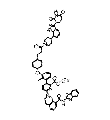 Cc1c(O[C@H]2CC[C@H](CCC(=O)N3CCC(c4cccc5c(C6CCC(=O)NC6=O)nn(C)c45)CC3)CC2)cccc1-c1ccc(N2CCc3cccc(C(=O)Nc4nc5ccccc5s4)c3C2)nc1C(=O)OC(C)(C)C